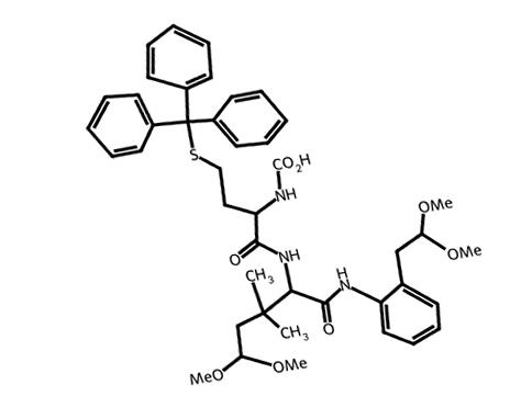 COC(Cc1ccccc1NC(=O)C(NC(=O)C(CCSC(c1ccccc1)(c1ccccc1)c1ccccc1)NC(=O)O)C(C)(C)CC(OC)OC)OC